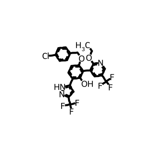 CCOc1ncc(C(F)(F)F)cc1-c1c(OCc2ccc(Cl)cc2)ccc(-c2cc(C(F)(F)F)n[nH]2)c1O